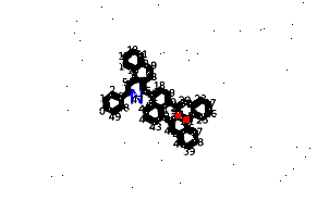 c1ccc(-c2cc3c(ccc4ccccc43)c(-c3ccc(-c4ccc5ccccc5c4)c4c(-c5ccc6ccccc6c5)cccc34)n2)cc1